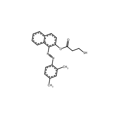 Cc1ccc(/N=N/c2c(OC(=O)CCS)ccc3ccccc23)c(C)c1